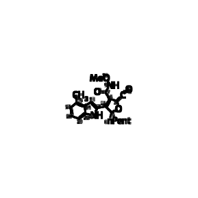 CCCCCC1OC(=C=O)C(C(=O)NOC)=C1c1cc2c(C)cccc2[nH]1